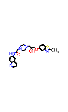 Cc1nc2cc(OC[C@H](O)CN3CCN(CC(=O)Nc4ccc5ncccc5c4)CC3)ccc2s1